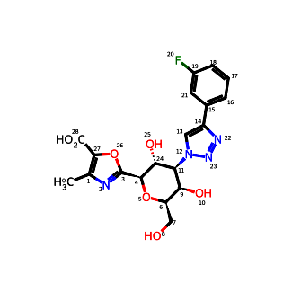 Cc1nc([C@@H]2O[C@H](CO)[C@H](O)[C@H](n3cc(-c4cccc(F)c4)nn3)[C@H]2O)oc1C(=O)O